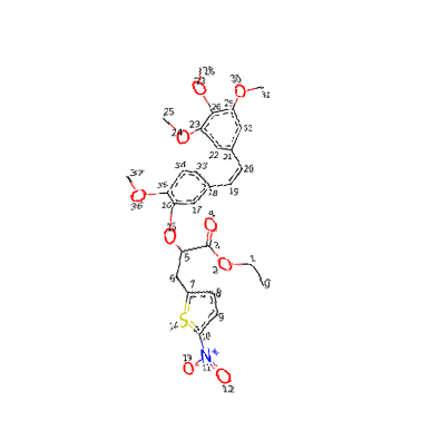 CCOC(=O)C(Cc1ccc([N+](=O)[O-])s1)Oc1cc(/C=C\c2cc(OC)c(OC)c(OC)c2)ccc1OC